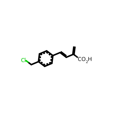 C=C(C=Cc1ccc(CCl)cc1)C(=O)O